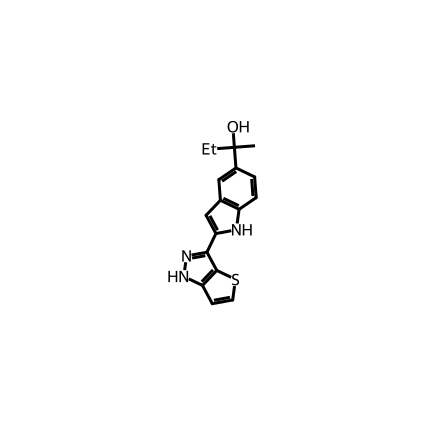 CCC(C)(O)c1ccc2[nH]c(-c3n[nH]c4ccsc34)cc2c1